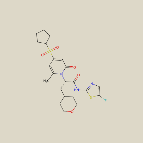 Cc1cc(S(=O)(=O)C2CCCC2)cc(=O)n1[C@@H](CC1CCOCC1)C(=O)Nc1ncc(F)s1